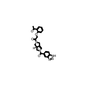 CC(=O)c1ccccc1OCC(=O)N1CC2=CN(C(=O)c3ccc4[nH]nnc4c3)C[C@@H]2C1